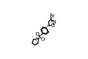 O=S(=O)(c1ccc([C@@H]2CC(Br)=NO2)cc1)N1CCCC1